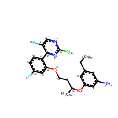 CSCc1cc(N)cc(O[C@@H](C)CCOc2cc(F)ccc2-c2nc(Cl)ncc2F)c1